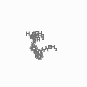 CCCCCc1cc(OC2CCN(CCCNC(=O)C(C)(C)C)CC2)c2ncccc2c1